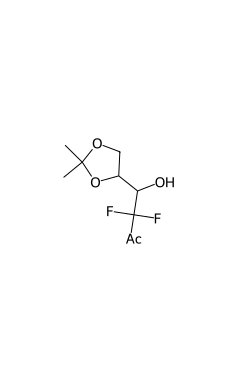 CC(=O)C(F)(F)C(O)C1COC(C)(C)O1